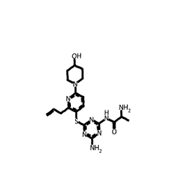 C=CCc1nc(N2CCC(O)CC2)ccc1Sc1nc(N)nc(NC(=O)C(C)N)n1